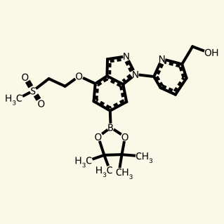 CC1(C)OB(c2cc(OCCS(C)(=O)=O)c3cnn(-c4cccc(CO)n4)c3c2)OC1(C)C